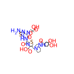 CC(C)(O/N=C(\C(=O)NC1C(=O)N2C(C(=O)O)=C(C[N+]3(CCNC(=O)c4ccc(O)c(O)c4)CCCCC3)CSC12)c1nsc(N)n1)C(=O)O